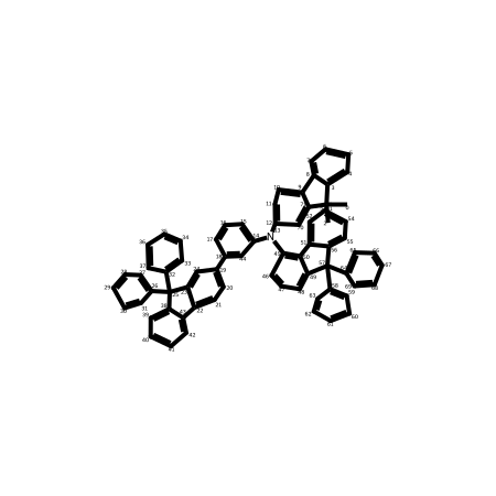 CC1(C)c2ccccc2-c2ccc(N(c3cccc(-c4ccc5c(c4)C(c4ccccc4)(c4ccccc4)c4ccccc4-5)c3)c3cccc4c3-c3ccccc3C4(c3ccccc3)c3ccccc3)cc21